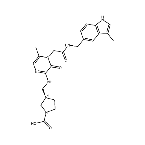 Cc1c[nH]c2ccc(CNC(=O)Cn3c(C)cnc(NC[C@H]4CCN(C(=O)O)C4)c3=O)cc12